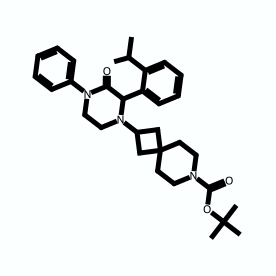 CC(C)c1ccccc1C1C(=O)N(c2ccccc2)CCN1C1CC2(CCN(C(=O)OC(C)(C)C)CC2)C1